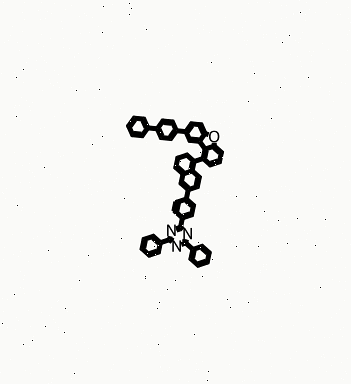 c1c(-c2ccc3c(c2)=CCCC=3c2cccc3oc4ccc(-c5ccc(-c6ccccc6)cc5)cc4c23)ccc(-c2nc(-c3ccccc3)nc(-c3ccccc3)n2)c#1